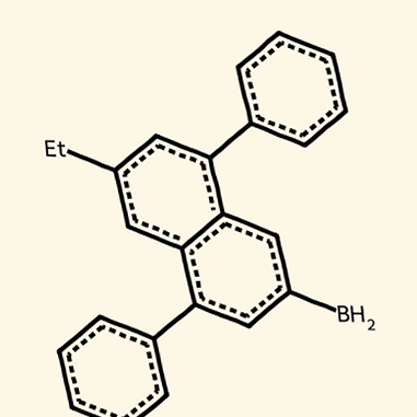 Bc1cc(-c2ccccc2)c2cc(CC)cc(-c3ccccc3)c2c1